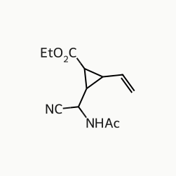 C=CC1C(C(=O)OCC)C1C(C#N)NC(C)=O